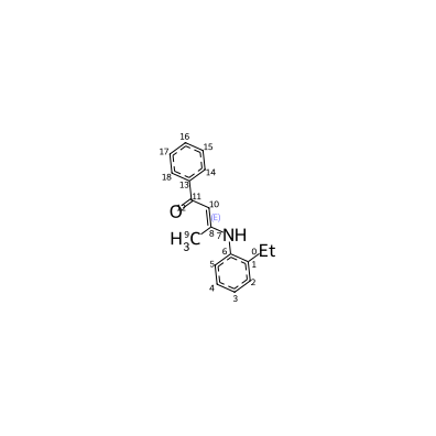 CCc1ccccc1N/C(C)=C/C(=O)c1ccccc1